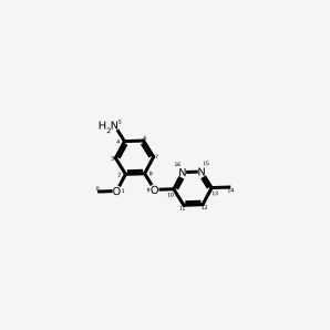 COc1cc(N)ccc1Oc1ccc(C)nn1